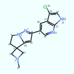 CN1CC2(CCn3nc(-c4cnc5[nH]cc(Cl)c5c4)cc32)C1